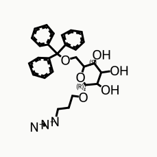 [N-]=[N+]=NCCCO[C@@H]1OC(COC(c2ccccc2)(c2ccccc2)c2ccccc2)[C@@H](O)C(O)C1O